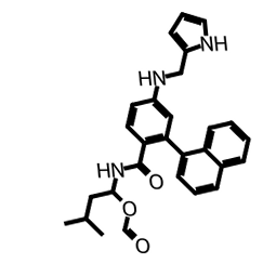 CC(C)CC(NC(=O)c1ccc(NCc2ccc[nH]2)cc1-c1cccc2ccccc12)OC=O